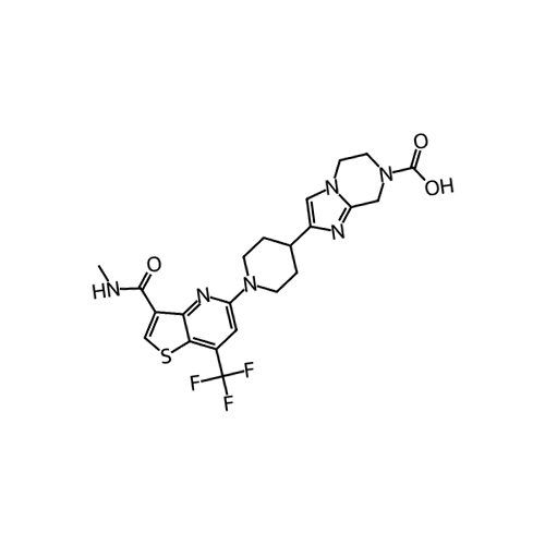 CNC(=O)c1csc2c(C(F)(F)F)cc(N3CCC(c4cn5c(n4)CN(C(=O)O)CC5)CC3)nc12